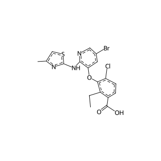 CCc1c(C(=O)O)ccc(Cl)c1Oc1cc(Br)cnc1Nc1nc(C)cs1